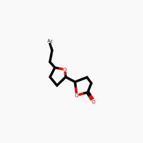 CC(=O)CCC1CCC(C2CCC(=O)O2)O1